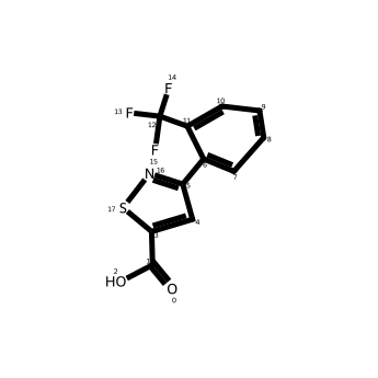 O=C(O)c1cc(-c2ccccc2C(F)(F)F)ns1